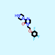 O=c1c(N2CCNCC2)nccn1CCOc1cc(F)c(F)cc1F